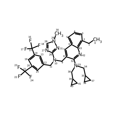 CCc1cccc2cc(CN(Cc3cc(C(F)(F)F)cc(C(F)(F)F)c3)c3ncn(C)n3)c(N(CC3CC3)CC3CC3)nc12